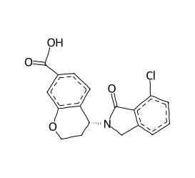 O=C(O)c1ccc2c(c1)OCC[C@H]2N1Cc2cccc(Cl)c2C1=O